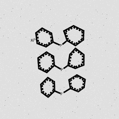 [Al+3].c1ccc([P-]c2ccccc2)cc1.c1ccc([P-]c2ccccc2)cc1.c1ccc([P-]c2ccccc2)cc1